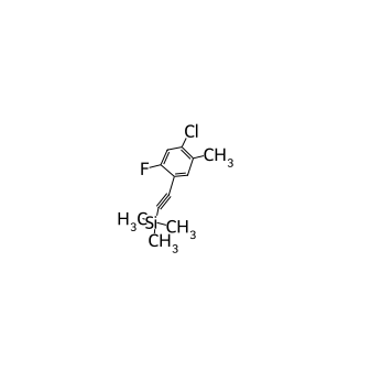 Cc1cc(C#C[Si](C)(C)C)c(F)cc1Cl